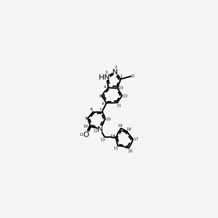 Cc1n[nH]c2cc(-c3ccc(=O)n(Cc4ccccc4)c3)ccc12